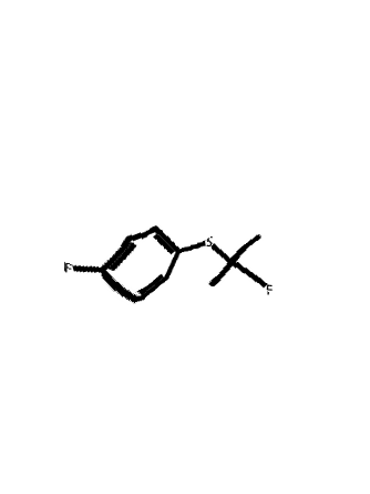 CC(C)(F)Sc1ccc(F)cc1